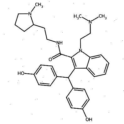 CN(C)CCn1c(C(=O)NCCC2CCCN2C)c(C(c2ccc(O)cc2)c2ccc(O)cc2)c2ccccc21